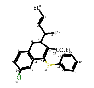 CCC=CC(C(C)C)C1Cc2ccc(Cl)cc2C(Sc2ccccc2)=C1C(=O)OCC